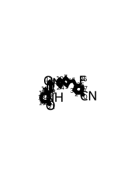 N#Cc1ccc(CC2CC3(C2)CN(C(=O)N2CC4(CCCC(=O)N4)C2)C3)c(F)c1